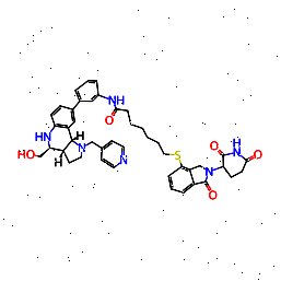 O=C1CCC(N2Cc3c(SCCCCCCC(=O)Nc4cccc(-c5ccc6c(c5)[C@H]5[C@H](CCN5Cc5ccncc5)[C@@H](CO)N6)c4)cccc3C2=O)C(=O)N1